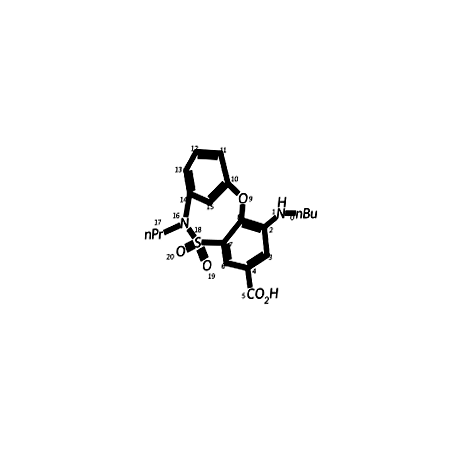 CCCCNc1cc(C(=O)O)cc2c1Oc1cccc(c1)N(CCC)S2(=O)=O